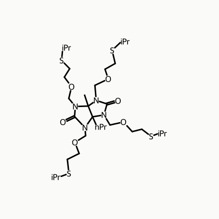 CCCC12N(COCCSC(C)C)C(=O)N(COCCSC(C)C)C1(C)N(COCCSC(C)C)C(=O)N2COCCSC(C)C